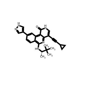 C[C@H](Nc1nc2c(C#CC3CC3)c[nH]c(=O)c2c2cc(-c3cn[nH]c3)ccc12)C(C)(C)C